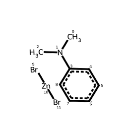 CN(C)c1cc[c]cc1.[Br][Zn][Br]